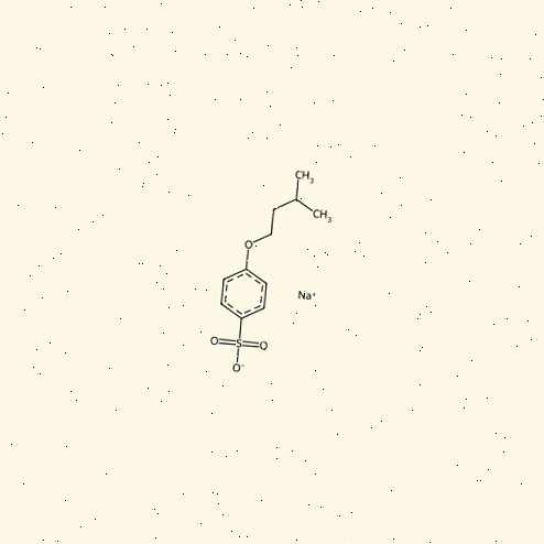 CC(C)CCOc1ccc(S(=O)(=O)[O-])cc1.[Na+]